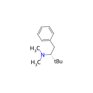 CN(C)[C@H](Cc1ccccc1)C(C)(C)C